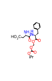 CC(C)OC(=O)OCOC(=O)[C@H](Cc1ccccc1)NC(=O)[C@@H](N)CC(=O)O